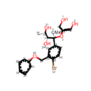 CO[C@](O/C(=C/O)CO)(c1ccc(Br)c(COc2ccccc2)c1)[C@H](O)[C@H](C)O